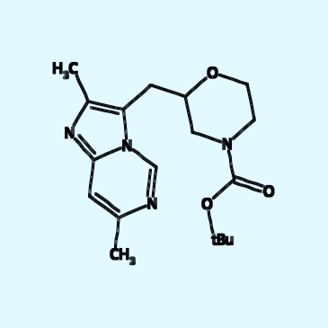 Cc1cc2nc(C)c(CC3CN(C(=O)OC(C)(C)C)CCO3)n2cn1